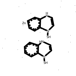 SN1C=CNc2ccccc21.SN1C=CNc2ccccc21.[Zn]